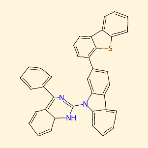 C1=CC2=C(c3ccccc3)N=C(n3c4ccccc4c4ccc(-c5cccc6c5sc5ccccc56)cc43)NC2C=C1